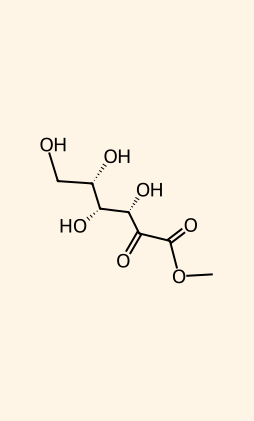 COC(=O)C(=O)[C@@H](O)[C@H](O)[C@@H](O)CO